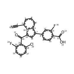 N#Cc1cccc2c(-c3ccc(C(=O)O)c(F)c3)cc(C(=O)c3c(F)cccc3Cl)n12